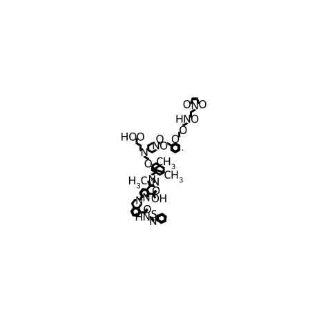 Cc1c(-c2ccc(N3CCc4cccc(C(=O)Nc5nc6ccccc6s5)c4C3)nc2C(=O)O)cnn1CC12CC3(C)CC(C)(C1)CC(OCCN(CCCC(=O)O)C1CCN(C(=O)OCc4cc[c]cc4OCCOCCNC(=O)CCN4C(=O)C=CC4=O)CC1)(C3)C2